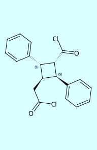 O=C(Cl)C[C@H]1[C@H](c2ccccc2)[C@H](C(=O)Cl)[C@H]1c1ccccc1